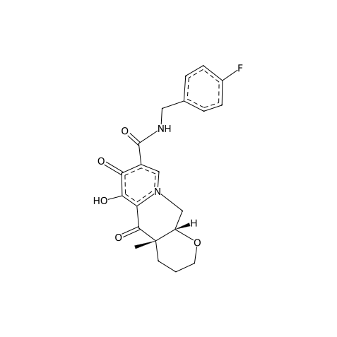 C[C@]12CCCO[C@H]1Cn1cc(C(=O)NCc3ccc(F)cc3)c(=O)c(O)c1C2=O